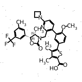 COc1ccc(-c2sc(C(=O)O)c(C)c2C)cc1-c1ccc(N2CCC2)nc1CN1C(=O)O[C@H](c2cc(C)cc(C(F)(F)F)c2)[C@@H]1C